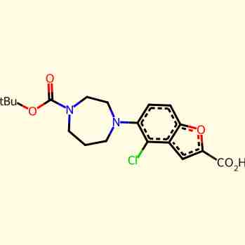 CC(C)(C)OC(=O)N1CCCN(c2ccc3oc(C(=O)O)cc3c2Cl)CC1